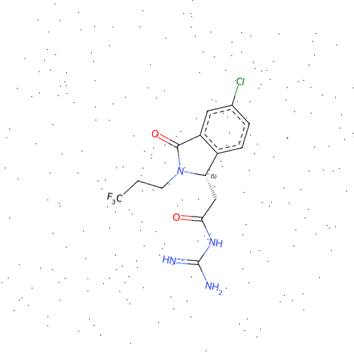 N=C(N)NC(=O)C[C@H]1c2ccc(Cl)cc2C(=O)N1CCC(F)(F)F